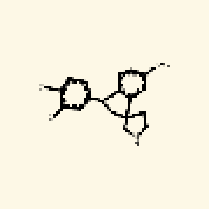 COc1ccc2c(c1)C1(CCNC1)CC2c1ccc(Cl)c(Cl)c1